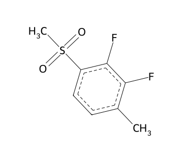 Cc1ccc(S(C)(=O)=O)c(F)c1F